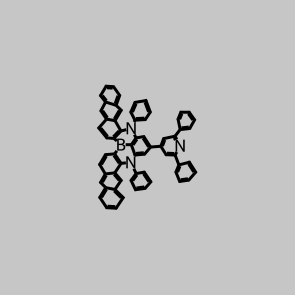 c1ccc(-c2cc(-c3cc4c5c(c3)N(c3ccccc3)c3c(ccc6cc7ccccc7cc36)B5c3ccc5cc6ccccc6cc5c3N4c3ccccc3)cc(-c3ccccc3)n2)cc1